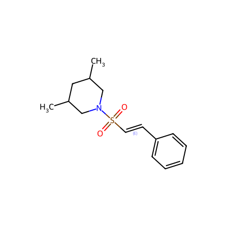 CC1CC(C)CN(S(=O)(=O)/C=C/c2ccccc2)C1